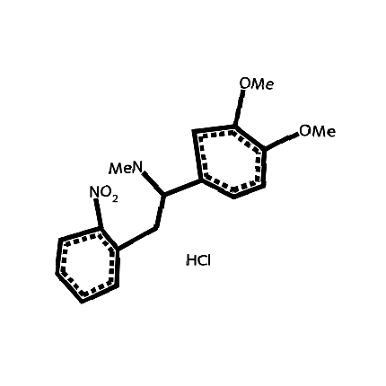 CNC(Cc1ccccc1[N+](=O)[O-])c1ccc(OC)c(OC)c1.Cl